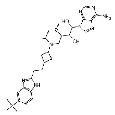 COC(CN(C(C)C)C1CC(CCc2nc3cc(C(C)(C)C)ccc3[nH]2)C1)C(O)C(O)n1cnc2c(N)ncnc21